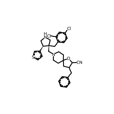 N#CC1OC2(CCN(C[C@]3(Cc4ccc(Cl)cc4Cl)CNC[C@@H]3c3ccsc3)CC2)CC1Cc1ccccc1